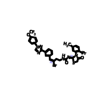 Cc1ccc(C(C)C)c(N2C(=O)CS/C2=N\C(=O)NCC/C(Br)=C\c2cccc(-c3ncn(-c4ccc(OC(F)(F)F)cc4)n3)c2)c1